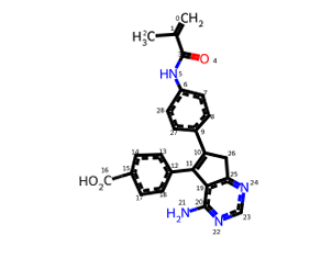 C=C(C)C(=O)Nc1ccc(C2=C(c3ccc(C(=O)O)cc3)c3c(N)ncnc3C2)cc1